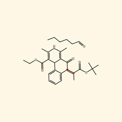 CCCCCC=O.CCOC(=O)C1=C(C)NC(C)=C(C(=O)OCC)C1c1ccccc1/C=C/C(=O)OC(C)(C)C